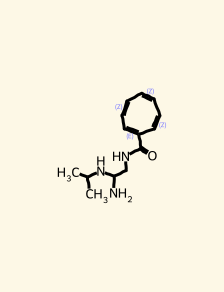 CC(C)NC(N)CNC(=O)C1=C/C=C\C=C/C=C\1